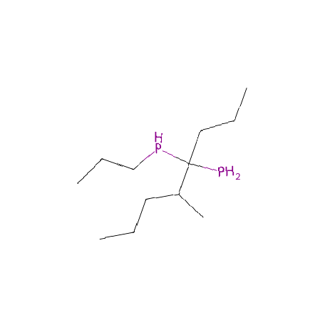 CCCPC(P)(CCC)C(C)CCC